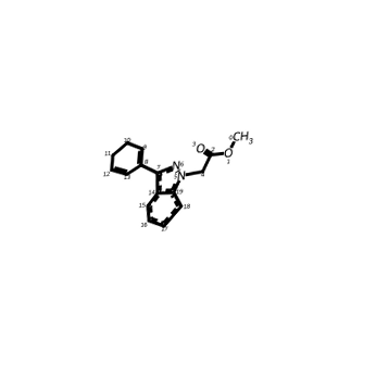 COC(=O)Cn1nc(C2=CCCC=C2)c2ccccc21